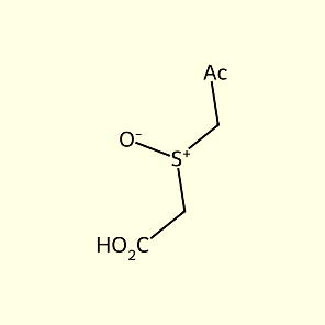 CC(=O)C[S+]([O-])CC(=O)O